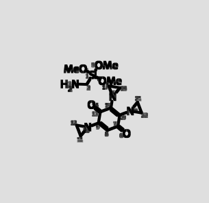 CO[Si](CN)(OC)OC.O=C1C=C(N2CC2)C(=O)C(N2CC2)=C1N1CC1